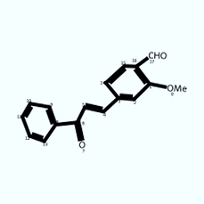 COc1cc(C=CC(=O)c2ccccc2)ccc1C=O